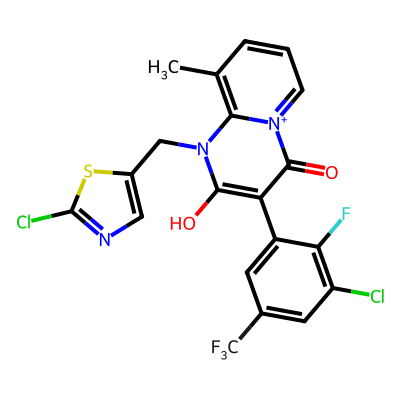 Cc1ccc[n+]2c(=O)c(-c3cc(C(F)(F)F)cc(Cl)c3F)c(O)n(Cc3cnc(Cl)s3)c12